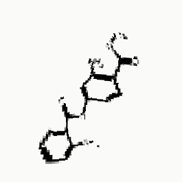 CCCCCCCCOC(=O)c1ccc(OC(=O)c2ccccc2N)cc1N